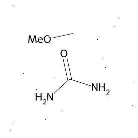 COC.NC(N)=O